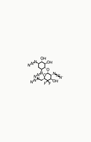 [N-]=[N+]=NC[C@H]1O[C@H](O[C@H]2[C@H](O)[C@@H](O)[C@H](N=[N+]=[N-])C[C@@H]2N=[N+]=[N-])[C@H](N=[N+]=[N-])[C@@H](O)C1(F)F